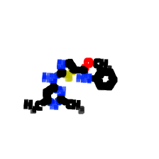 Cc1cc(Nc2ncc(C(=O)Nc3ccccc3C)s2)nc(C)n1